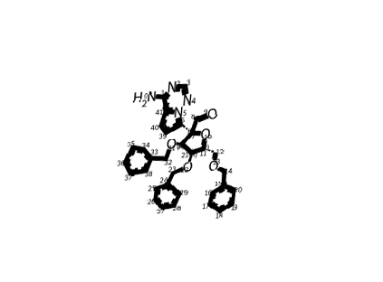 Nc1ncnn2c([C@]3(C=O)O[C@H](COCc4ccccc4)[C@@H](OCc4ccccc4)[C@H]3OCc3ccccc3)ccc12